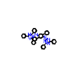 c1ccc(-c2nc(-c3ccccc3)nc(-c3ccccc3-n3c4ccccc4c4cc5c(cc43)c3ccccc3n5-c3nc(-c4ccccc4)nc(-c4ccccc4)n3)n2)cc1